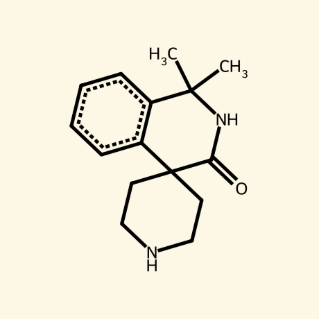 CC1(C)NC(=O)C2(CCNCC2)c2ccccc21